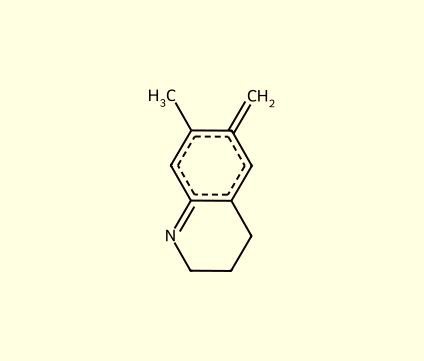 C=c1cc2c(cc1C)=NCCC2